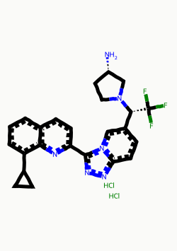 Cl.Cl.N[C@H]1CCN([C@@H](c2ccc3nnc(-c4ccc5cccc(C6CC6)c5n4)n3c2)C(F)(F)F)C1